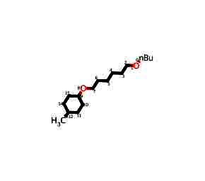 CCCCOCCCCCCOC1CCC(C)CC1